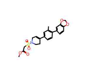 COC(=O)CS(=O)(=O)N1CC=C(c2ccc(-c3ccc4c(c3)OCO4)c(C)c2)CC1